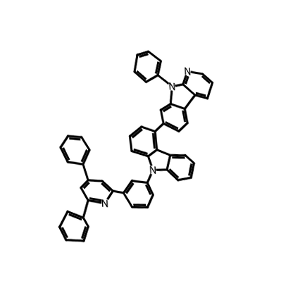 c1ccc(-c2cc(-c3ccccc3)nc(-c3cccc(-n4c5ccccc5c5c(-c6ccc7c8cccnc8n(-c8ccccc8)c7c6)cccc54)c3)c2)cc1